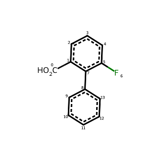 O=C(O)c1[c]ccc(F)c1-c1ccccc1